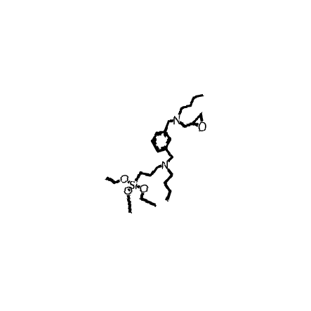 CCCCN(CCC[Si](OCC)(OCC)OCC)Cc1cccc(CN(CCCC)CC2CO2)c1